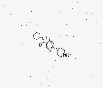 Cc1nc(N2CCNCC2)ncc1C(=O)NC1CCCCC1